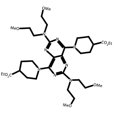 CCOC(=O)C1CCN(c2nc(N(CCOC)CCOC)nc3c(N4CCC(C(=O)OCC)CC4)nc(N(CCOC)CCOC)nc23)CC1